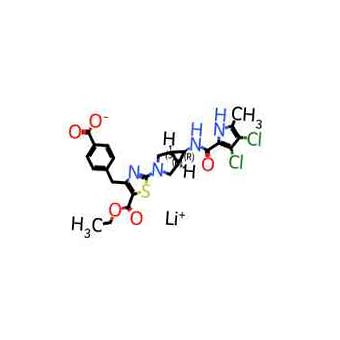 CCOC(=O)c1sc(N2C[C@@H]3[C@H](C2)[C@@H]3NC(=O)c2[nH]c(C)c(Cl)c2Cl)nc1Cc1ccc(C(=O)[O-])cc1.[Li+]